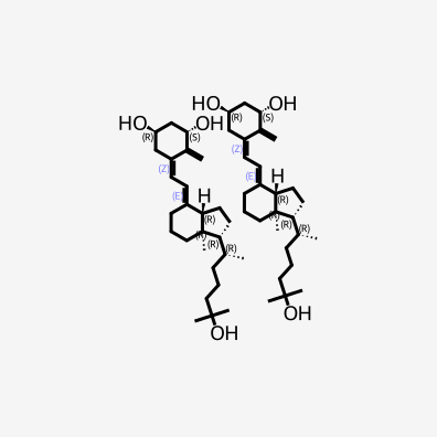 C=C1/C(=C\C=C2/CCC[C@]3(C)[C@@H]([C@H](C)CCCC(C)(C)O)CC[C@@H]23)C[C@@H](O)C[C@@H]1O.C=C1/C(=C\C=C2/CCC[C@]3(C)[C@@H]([C@H](C)CCCC(C)(C)O)CC[C@@H]23)C[C@@H](O)C[C@@H]1O